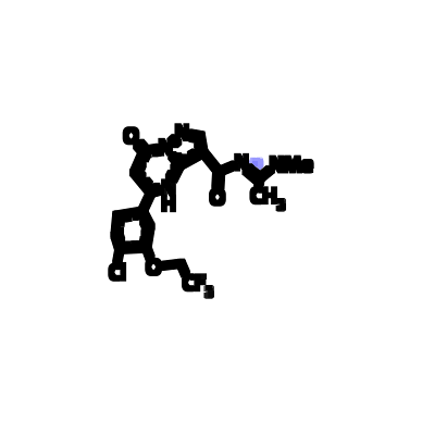 CN/C(C)=N/C(=O)c1cnn2c(=O)cc(-c3ccc(Cl)c(OCC(F)(F)F)c3)[nH]c12